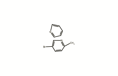 Cc1ccc(Br)cn1.c1ccncc1